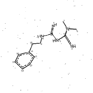 CN(C)C(=N)NC(=N)NCCc1ccccc1